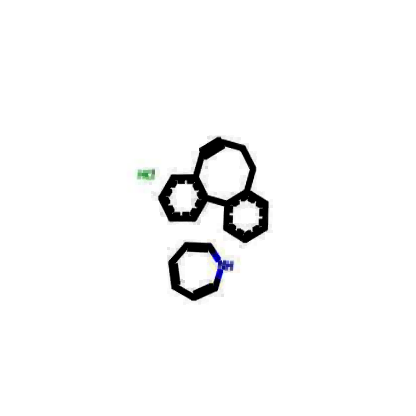 C1#Cc2ccccc2-c2ccccc2CC1.C1=CC=CNC=C1.Cl